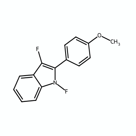 COc1ccc(-c2c(F)c3ccccc3n2F)cc1